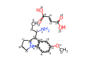 CCC(N)c1c2n(c3ccc(OC)cc13)CCC2.O=C(O)/C=C/C(=O)O